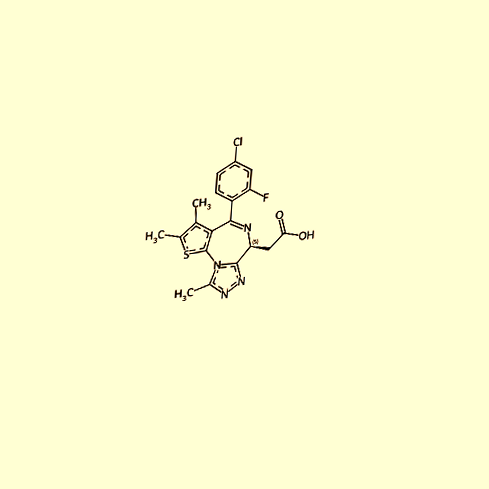 Cc1sc2c(c1C)C(c1ccc(Cl)cc1F)=N[C@@H](CC(=O)O)c1nnc(C)n1-2